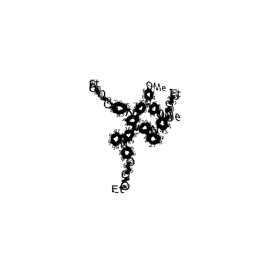 CCOCCOCCOc1ccc(-n2c3c(c4cc(N(c5ccc6c(c5)c5ccccc5n6-c5ccc(OCCOCCOCC)cc5)c5ccc6c(c5)c5cc(N(C7=CC=C(OC)CC7)c7ccc(OC)cc7)ccc5n6-c5ccc(OCCOCCOCC)cc5)ccc42)C=CCC3)cc1